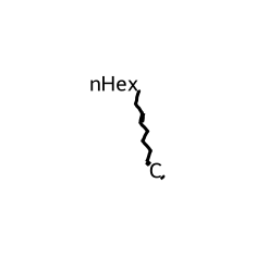 C=C=CCCCC=CCCCCCCCC